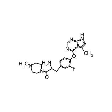 Cc1c[nH]c2ncnc(Oc3ccc(CC(N)C(=O)N4CCN(C)CC4)cc3F)c12